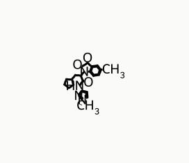 Cc1ccc2c(c1)C(=O)C(=O)N2C(CC1CCCC1)C(=O)Nc1ccn(C)n1